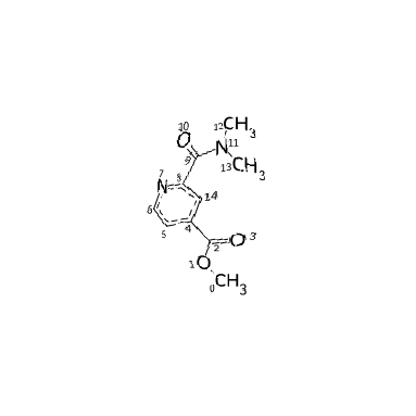 COC(=O)c1ccnc(C(=O)N(C)C)c1